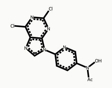 CC(=O)N(O)c1ccc(-n2cnc3c(Cl)nc(Cl)nc32)nc1